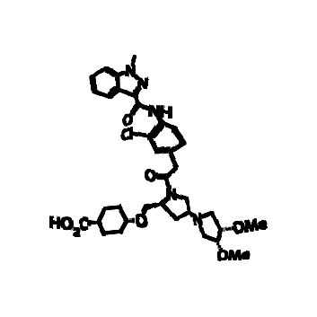 CO[C@H]1CN([C@H]2C[C@@H](CO[C@H]3CC[C@H](C(=O)O)CC3)N(C(=O)Cc3ccc(NC(=O)c4nn(C)c5ccccc45)c(Cl)c3)C2)C[C@H]1OC